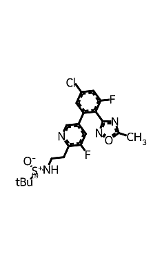 Cc1nc(-c2c(F)cc(Cl)cc2-c2cnc(CCN[S@+]([O-])C(C)(C)C)c(F)c2)no1